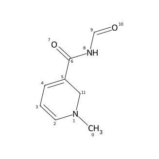 CN1C=CC=C(C(=O)NC=O)C1